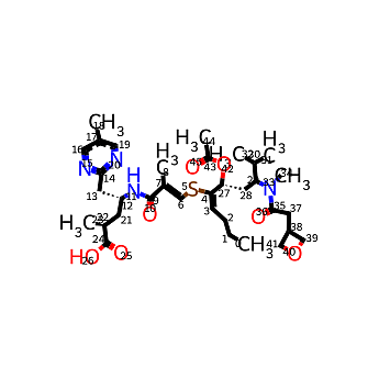 CCC/C=C(/S/C=C(\C)C(=O)N[C@@H](Cc1ncc(C)cn1)C[C@H](C)C(=O)O)[C@@H](CC(C(C)C)N(C)C(=O)CC1COC1)OC(C)=O